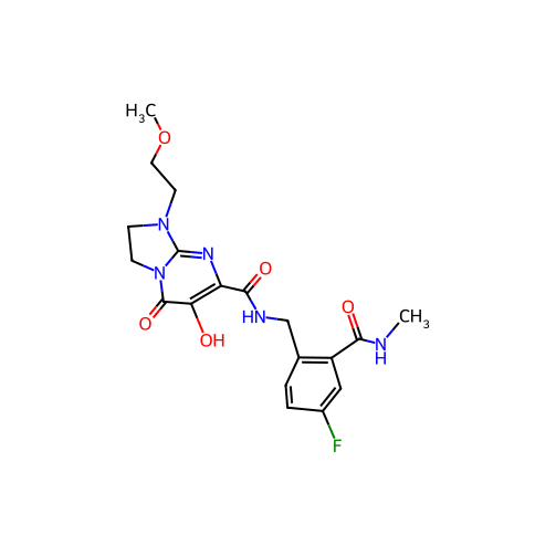 CNC(=O)c1cc(F)ccc1CNC(=O)c1nc2n(c(=O)c1O)CCN2CCOC